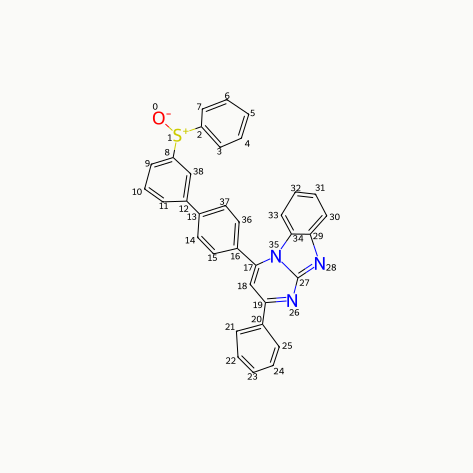 [O-][S+](c1ccccc1)c1cccc(-c2ccc(-c3cc(-c4ccccc4)nc4nc5ccccc5n34)cc2)c1